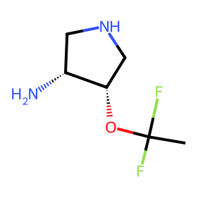 CC(F)(F)O[C@H]1CNC[C@H]1N